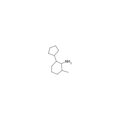 CC1CCCC(C2CCCC2)C1N